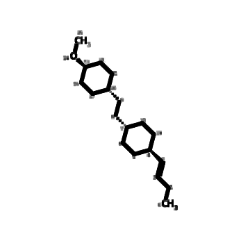 CCC=C[C@H]1CC[C@H](CC[C@H]2CC[C@H](OC)CC2)CC1